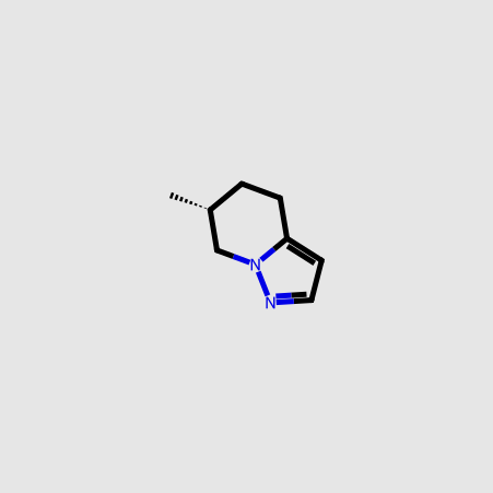 C[C@@H]1CCc2ccnn2C1